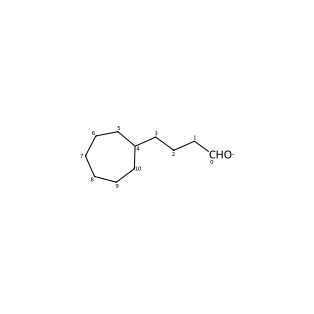 O=[C]CCCC1CCCCCC1